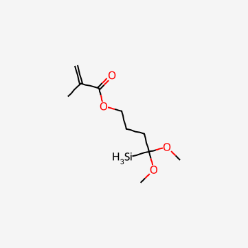 C=C(C)C(=O)OCCCC([SiH3])(OC)OC